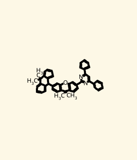 CC1(C)c2ccc(-c3nc(-c4ccccc4)cc(-c4ccccc4)n3)cc2Oc2cc(C3c4ccccc4C(C)(C)c4ccccc43)ccc21